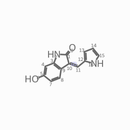 O=C1Nc2cc(O)ccc2/C1=C/c1ccc[nH]1